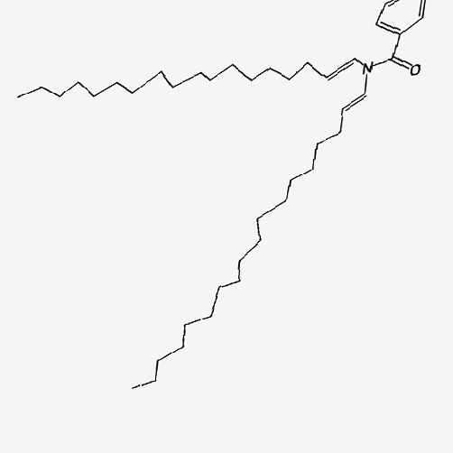 CCCCCCCCCCCCCCCCC=CN(C=CCCCCCCCCCCCCCCCC)C(=O)c1ccccc1